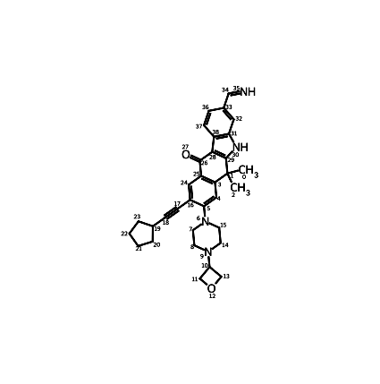 CC1(C)c2cc(N3CCN(C4COC4)CC3)c(C#CC3CCCC3)cc2C(=O)c2c1[nH]c1cc(C=N)ccc21